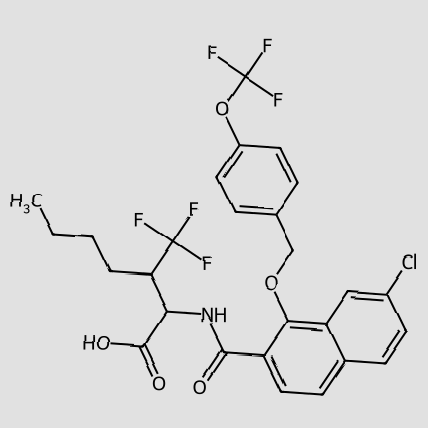 CCCCC(C(NC(=O)c1ccc2ccc(Cl)cc2c1OCc1ccc(OC(F)(F)F)cc1)C(=O)O)C(F)(F)F